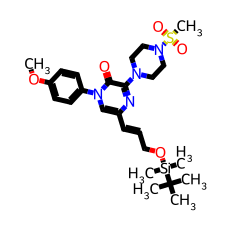 COc1ccc(-n2cc(/C=C/CO[Si](C)(C)C(C)(C)C)nc(N3CCN(S(C)(=O)=O)CC3)c2=O)cc1